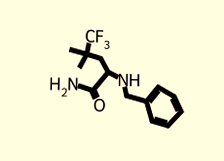 CC(C)(CC(NCc1ccccc1)C(N)=O)C(F)(F)F